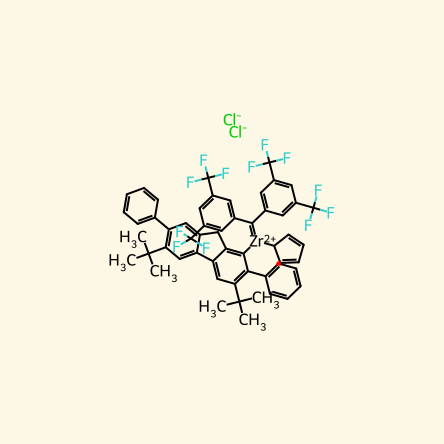 CC(C)(C)c1cc2c(cc1-c1ccccc1)Cc1c-2cc(C(C)(C)C)c(-c2ccccc2)[c]1[Zr+2](=[C](c1cc(C(F)(F)F)cc(C(F)(F)F)c1)c1cc(C(F)(F)F)cc(C(F)(F)F)c1)[CH]1C=CC=C1.[Cl-].[Cl-]